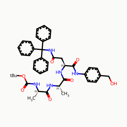 C[C@H](NC(=O)OC(C)(C)C)C(=O)N[C@@H](C)C(=O)N[C@@H](CC(=O)NC(c1ccccc1)(c1ccccc1)c1ccccc1)C(=O)Nc1ccc(CO)cc1